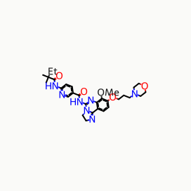 CCC(C)(C)C(=O)Nc1ccc(C(=O)NC2=Nc3c(ccc(OCCCN4CCOCC4)c3OC)C3=NCCN23)cn1